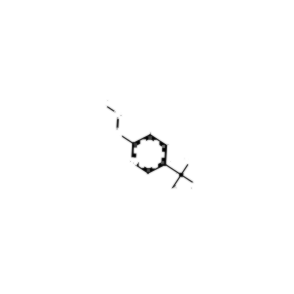 OBOc1ccc(C(Cl)(Cl)Cl)cn1